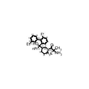 [CH2]CCC(O)(c1cccc(F)c1-c1cccc(CC)c1)C1CCCN(C(=O)C(C)(C)N)C1